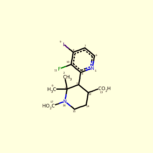 CC1(C)C(c2nccc(I)c2F)C(C(=O)O)CCN1C(=O)O